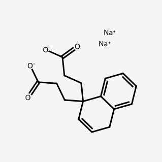 O=C([O-])CCC1(CCC(=O)[O-])C=CCc2ccccc21.[Na+].[Na+]